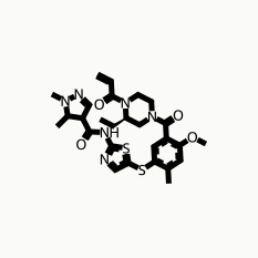 C=CC(=O)N1CCN(C(=O)c2cc(Sc3cnc(NC(=O)C4C=NN(C)C4C)s3)c(C)cc2OC)C[C@H]1CC